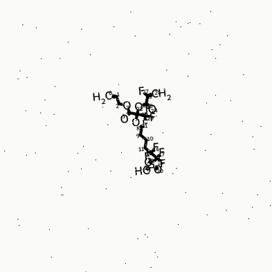 C=CCOC(=O)C(OCCCCC(F)(F)C(F)(F)S(=O)(=O)O)(OC(=O)C(=C)F)C(F)(F)F